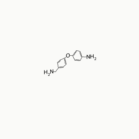 NCc1ccc(Oc2ccc(N)cc2)cc1